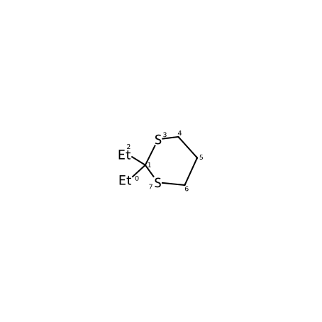 CCC1(CC)SCCCS1